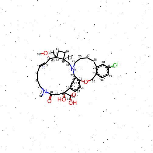 CO[C@H]1/C=C/CCCN(C)C(=O)C[C@@](O)(C(=O)O)c2ccc3c(c2)N(CCCCc2cc(Cl)ccc2CO3)C[C@@H]2CC[C@H]21